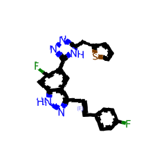 Fc1ccc(/C=C/c2n[nH]c3cc(F)c(-c4nnc(Cc5cccs5)[nH]4)cc23)cc1